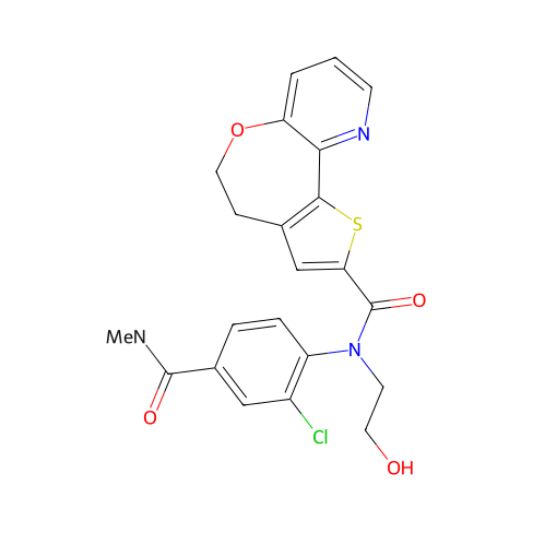 CNC(=O)c1ccc(N(CCO)C(=O)c2cc3c(s2)-c2ncccc2OCC3)c(Cl)c1